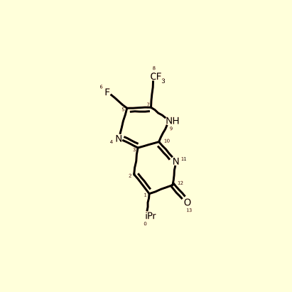 CC(C)c1cc2nc(F)c(C(F)(F)F)[nH]c-2nc1=O